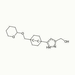 OCc1cc(C23CCC(COC4CCCCO4)(CC2)CC3)[nH]n1